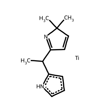 CC(C1=NC(C)(C)C=C1)c1ccc[nH]1.[Ti]